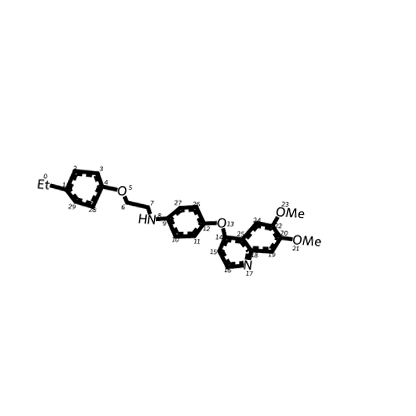 CCc1ccc(OCCNc2ccc(Oc3ccnc4cc(OC)c(OC)cc34)cc2)cc1